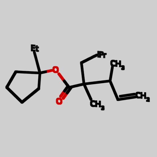 C=CC(C)C(C)(CC(C)C)C(=O)OC1(CC)CCCC1